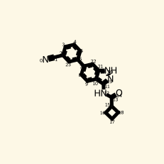 N#Cc1cccc(-c2ccc3c(NC(=O)C4CCC4)n[nH]c3c2)c1